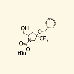 CC(C)(C)OC(=O)N1CC(OCc2ccccc2)(C(F)(F)F)CC1CO